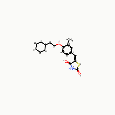 Cc1cc(C=C2SC(=O)NC2=O)ccc1OCCC1CCCCC1